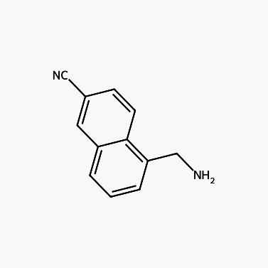 N#Cc1ccc2c(CN)cccc2c1